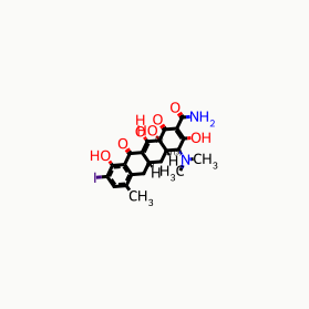 Cc1cc(I)c(O)c2c1C[C@H]1C[C@H]3[C@H](N(C)C)C(O)=C(C(N)=O)C(=O)[C@@]3(O)C(O)=C1C2=O